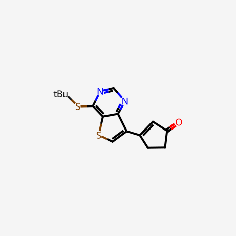 CC(C)(C)Sc1ncnc2c(C3=CC(=O)CC3)csc12